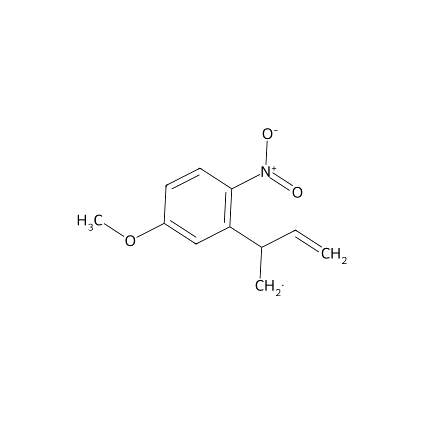 [CH2]C(C=C)c1cc(OC)ccc1[N+](=O)[O-]